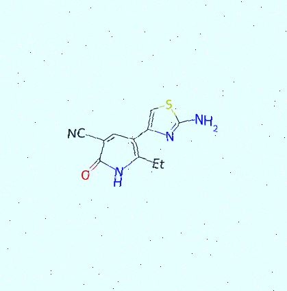 CCc1[nH]c(=O)c(C#N)cc1-c1csc(N)n1